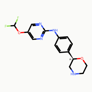 FC(F)Oc1cnc(Nc2ccc([C@@H]3CNCCO3)cc2)nc1